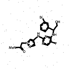 CNC(=O)Cn1cc(Nc2ncc(F)c(NC(CO)c3cccc(Br)c3)n2)cn1